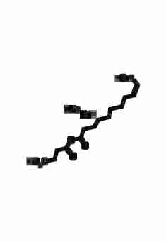 CCCCCCCC/C=C\CCCCCCCC(=O)OC(=O)CCC(=O)O.[NaH].[NaH]